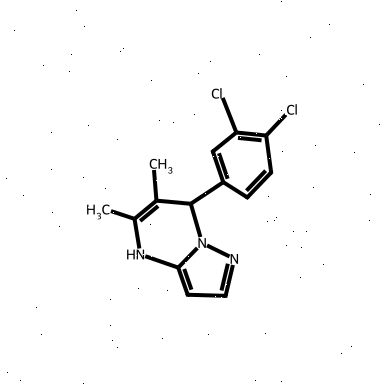 CC1=C(C)C(c2ccc(Cl)c(Cl)c2)n2nccc2N1